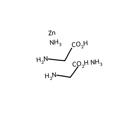 N.N.NCC(=O)O.NCC(=O)O.[Zn]